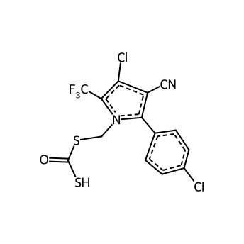 N#Cc1c(Cl)c(C(F)(F)F)n(CSC(=O)S)c1-c1ccc(Cl)cc1